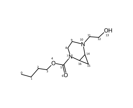 CCCCOC(=O)N1CCN(CCO)C2CC21